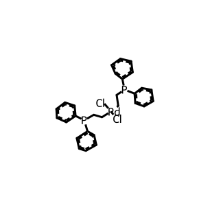 [Cl][Pd]([Cl])([CH2]CP(c1ccccc1)c1ccccc1)[CH2]CP(c1ccccc1)c1ccccc1